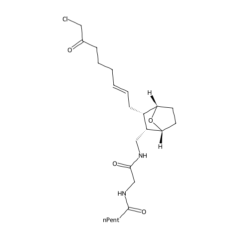 CCCCCC(=O)NCC(=O)NC[C@@H]1[C@H](CC=CCCCC(=O)CCl)[C@@H]2CC[C@H]1O2